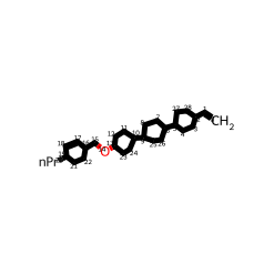 C=CC1CCC(C2CCC(C3CCC(OCC4C=CC(CCC)CC4)CC3)CC2)CC1